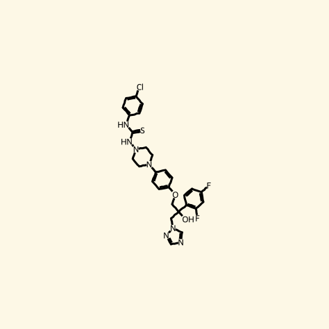 OC(COc1ccc(N2CCN(NC(=S)Nc3ccc(Cl)cc3)CC2)cc1)(Cn1cncn1)c1ccc(F)cc1F